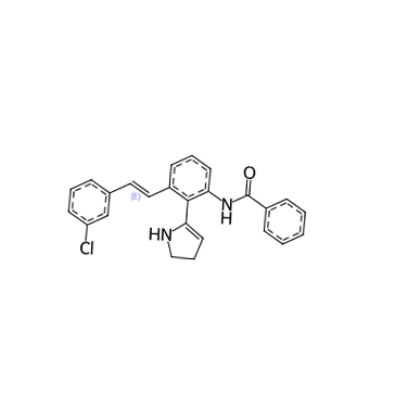 O=C(Nc1cccc(/C=C/c2cccc(Cl)c2)c1C1=CCCN1)c1ccccc1